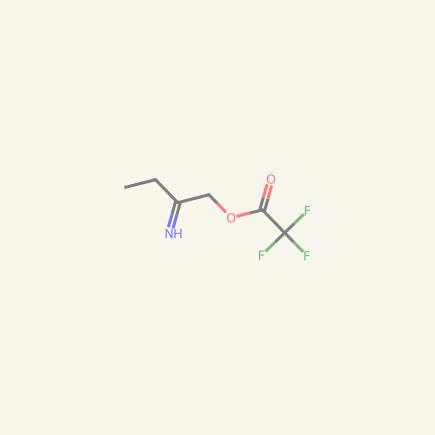 CCC(=N)COC(=O)C(F)(F)F